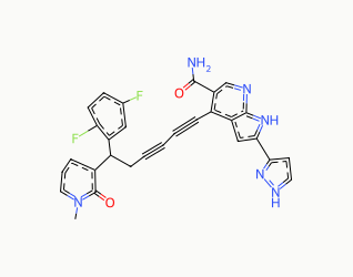 Cn1cccc(C(CC#CC#Cc2c(C(N)=O)cnc3[nH]c(-c4cc[nH]n4)cc23)c2cc(F)ccc2F)c1=O